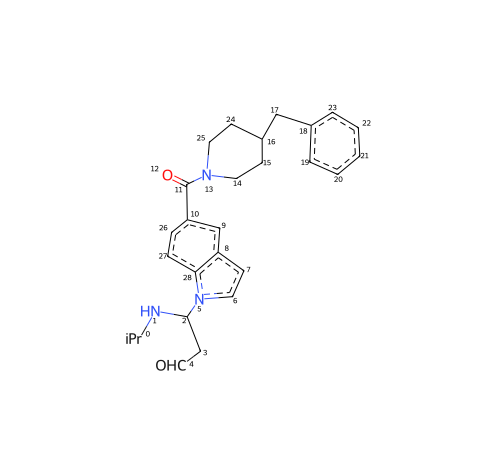 CC(C)NC(CC=O)n1ccc2cc(C(=O)N3CCC(Cc4ccccc4)CC3)ccc21